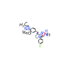 CCNC[C@]1(c2ccc(F)cc2)ON=C2/C(=C/c3ccc(-n4cnc(C)c4)c(OC)c3)CCCN21